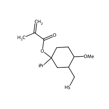 C=C(C)C(=O)OC1(C(C)C)CCC(OC)C(CS)C1